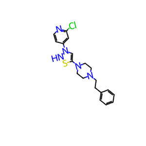 Clc1cc(N2C=C(N3CCN(CCc4ccccc4)CC3)SN2)ccn1